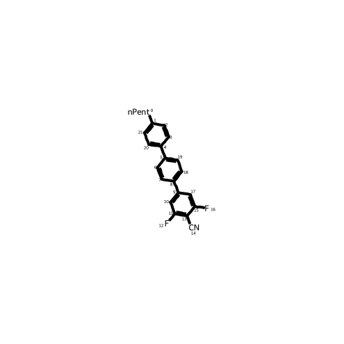 CCCCCc1ccc(-c2ccc(-c3cc(F)c(C#N)c(F)c3)cc2)cc1